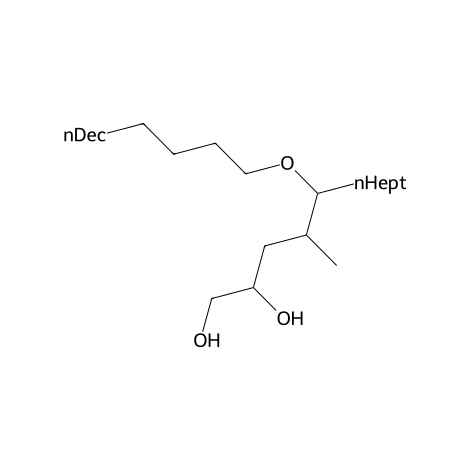 CCCCCCCCCCCCCCOC(CCCCCCC)C(C)CC(O)CO